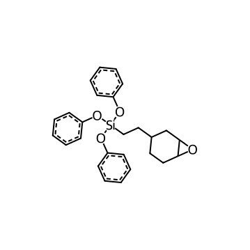 c1ccc(O[Si](CCC2CCC3OC3C2)(Oc2ccccc2)Oc2ccccc2)cc1